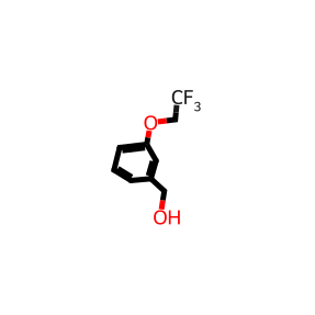 OCc1cccc(OCC(F)(F)F)c1